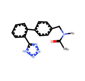 CCCCC(=O)N(Cc1ccc(-c2ccccc2-c2nnn[nH]2)cc1)C(C)=O